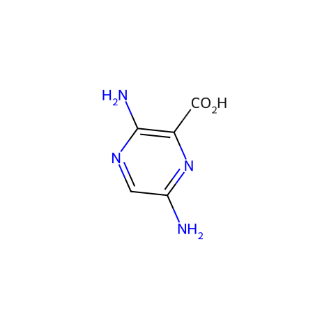 Nc1cnc(N)c(C(=O)O)n1